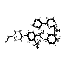 CCN1CCC(c2ccc(C(=O)Nc3ccc(C)c(Nc4nccc(-c5cccnc5)n4)c3)c(C(F)(F)F)c2)CC1